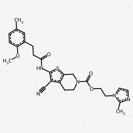 COc1ccc(C)cc1CCC(=O)Nc1sc2c(c1C#N)CCN(C(=O)OCCn1ccnc1C)C2